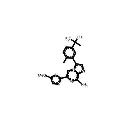 COc1cnc(-c2cn3c(-c4cc(C(C)(O)C(F)(F)F)ccc4C)cnc3c(N)n2)s1